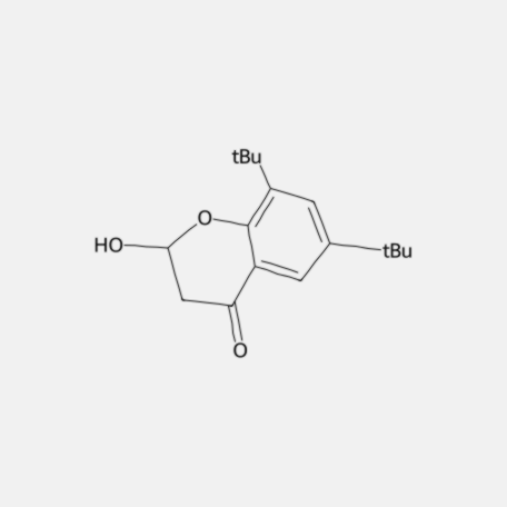 CC(C)(C)c1cc2c(c(C(C)(C)C)c1)OC(O)CC2=O